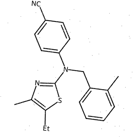 CCc1sc(N(Cc2ccccc2C)c2ccc(C#N)cc2)nc1C